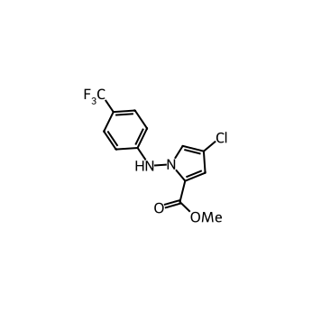 COC(=O)c1cc(Cl)cn1Nc1ccc(C(F)(F)F)cc1